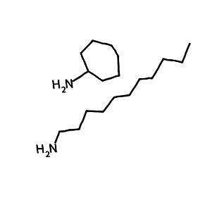 CCCCCCCCCCCN.NC1CCCCCC1